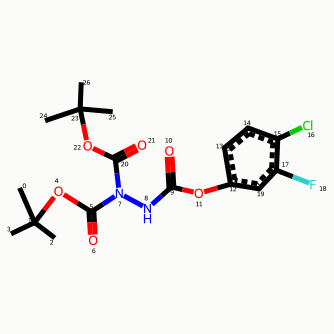 CC(C)(C)OC(=O)N(NC(=O)Oc1ccc(Cl)c(F)c1)C(=O)OC(C)(C)C